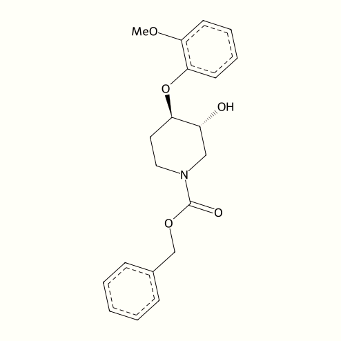 COc1ccccc1O[C@@H]1CCN(C(=O)OCc2ccccc2)C[C@H]1O